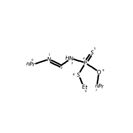 CCCN=CNP(=S)(OCCC)SCC